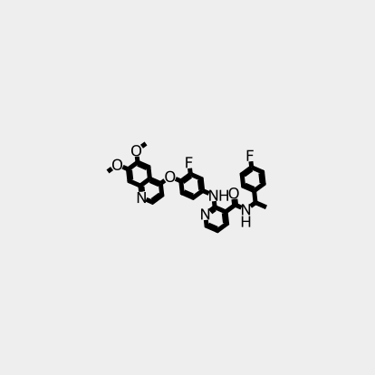 COc1cc2nccc(Oc3ccc(Nc4ncccc4C(=O)NC(C)c4ccc(F)cc4)cc3F)c2cc1OC